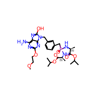 COCCOc1nc(N)c2nc(O)n(Cc3cccc(CP(=O)(N[C@@H](C)C(=O)OC(C)C)N[C@@H](C)C(=O)OC(C)C)c3)c2n1